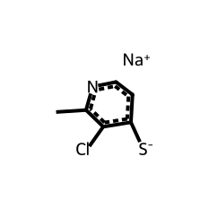 Cc1nccc([S-])c1Cl.[Na+]